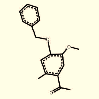 COc1cc(C(C)=O)c(C)cc1OCc1ccccc1